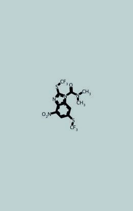 CN(C)C(=O)n1c(SC(F)(F)F)nc2c([N+](=O)[O-])cc(SC(F)(F)F)cc21